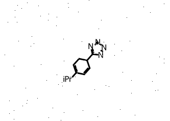 CC(C)C1=CCC(C2=[N+]=NN=N2)C=C1